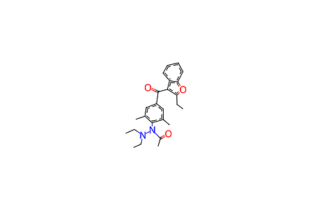 CCc1oc2ccccc2c1C(=O)c1cc(C)c(N(C(C)=O)N(CC)CC)c(C)c1